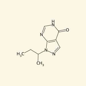 CCC(C)n1ncc2c(=O)[nH]cnc21